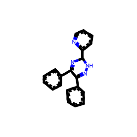 c1ccc(C2=NN[C](c3ccccn3)N=C2c2ccccc2)cc1